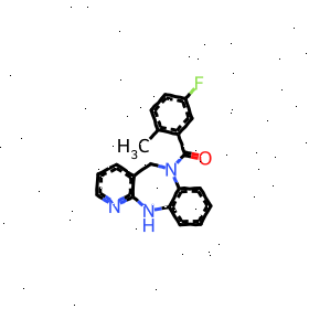 Cc1ccc(F)cc1C(=O)N1Cc2cccnc2Nc2ccccc21